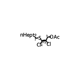 CCCCCCCCS/C(Cl)=C(/Cl)COC(C)=O